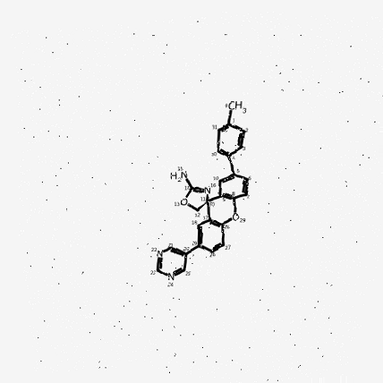 Cc1ccc(-c2ccc3c(c2)[C@]2(COC(N)=N2)c2cc(-c4cncnc4)ccc2O3)cc1